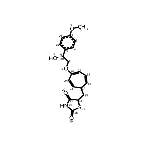 COc1ccc([C@@H](O)COC2=CC=CC(CC3SC(=O)NC3=O)C=C2)cc1